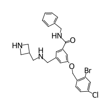 O=C(NCc1ccccc1)c1cc(CNCC2CNC2)cc(OCc2ccc(Cl)cc2Br)c1